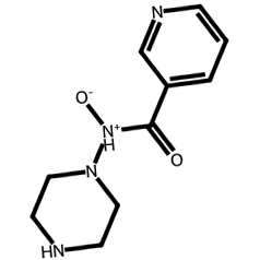 O=C(c1cccnc1)[NH+]([O-])N1CCNCC1